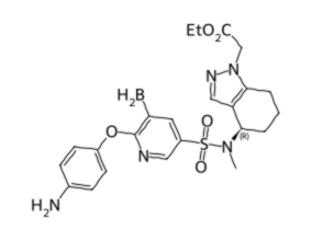 Bc1cc(S(=O)(=O)N(C)[C@@H]2CCCc3c2cnn3CC(=O)OCC)cnc1Oc1ccc(N)cc1